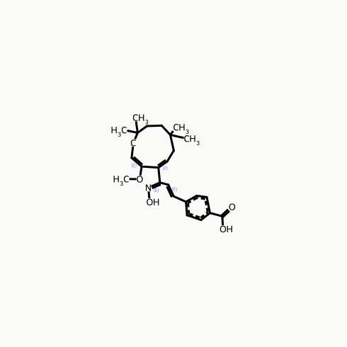 COC1=C/CC(C)(C)CCC(C)(C)C/C=C\1C(/C=C/c1ccc(C(=O)O)cc1)=N/O